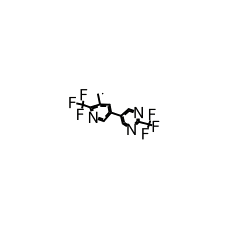 [CH2]c1cc(-c2cnc(C(F)(F)F)nc2)cnc1C(F)(F)F